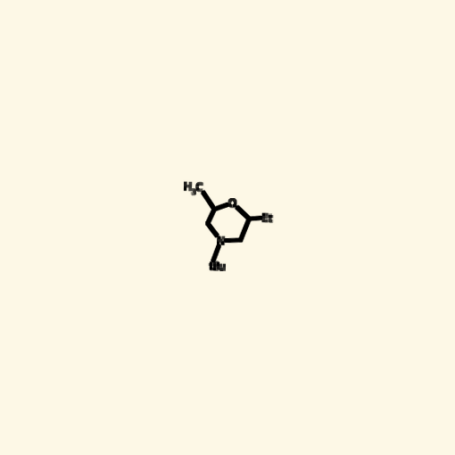 CCC1CN(C(C)(C)C)CC(C)O1